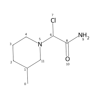 CC1CCCN(C(Cl)C(N)=O)C1